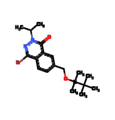 CC(C)n1nc(Br)c2ccc(CO[Si](C)(C)C(C)(C)C)cc2c1=O